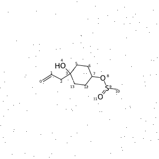 C=CCC1(O)CCC(OS(C)=O)CC1